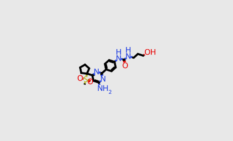 CS(=O)(=O)C1(c2cc(N)nc(-c3ccc(NC(=O)NCCCO)cc3)n2)CCCC1